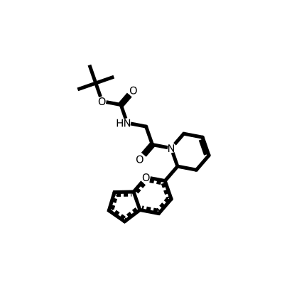 CC(C)(C)OC(=O)NCC(=O)N1CC=CCC1c1ccc2cccc-2o1